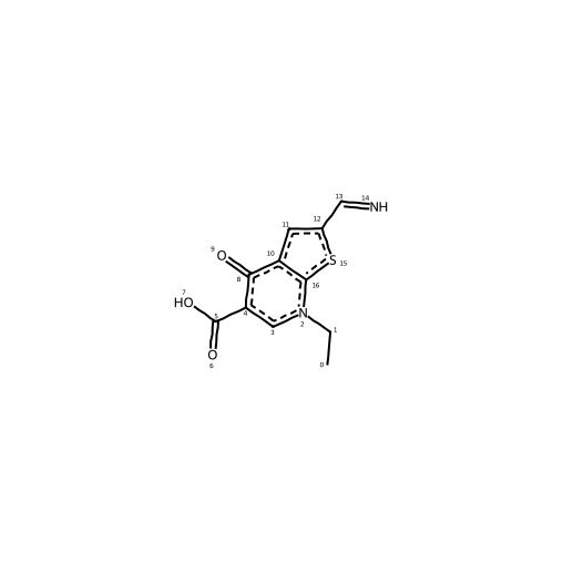 CCn1cc(C(=O)O)c(=O)c2cc(C=N)sc21